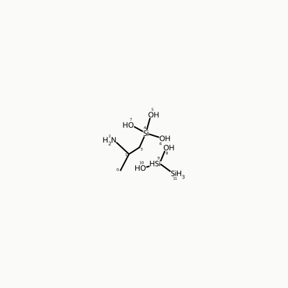 CC(N)C[Si](O)(O)O.O[SiH](O)[SiH3]